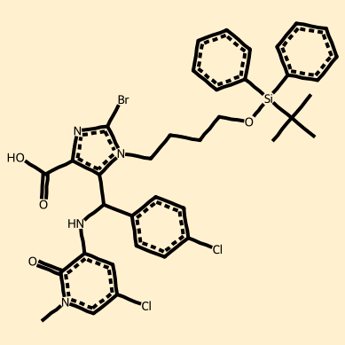 Cn1cc(Cl)cc(NC(c2ccc(Cl)cc2)c2c(C(=O)O)nc(Br)n2CCCCO[Si](c2ccccc2)(c2ccccc2)C(C)(C)C)c1=O